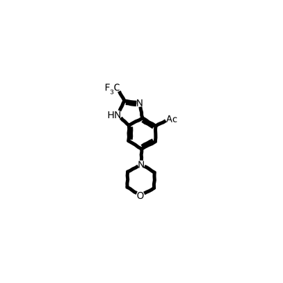 CC(=O)c1cc(N2CCOCC2)cc2[nH]c(C(F)(F)F)nc12